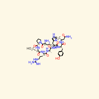 C[C@H](NC(=O)[C@H](CCCNC(=N)N)NC(=O)[C@H](CC(=O)O)NC(=O)[C@@H]1CCCN1C(=O)[C@@H](N)CCC(=O)O)C(=O)N[C@@H](Cc1c[nH]cn1)C(=O)N[C@@H](Cc1ccc(O)cc1)C(=O)N[C@@H](CC(N)=O)C(=O)O